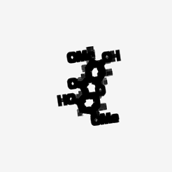 COc1cc(O)c2c(=O)c3cc(OC)c(O)cc3oc2c1